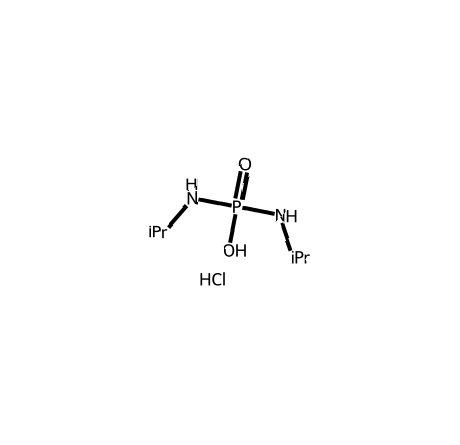 CC(C)NP(=O)(O)NC(C)C.Cl